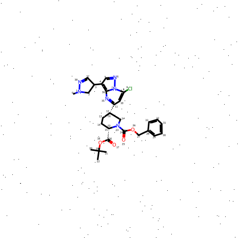 CN1CC(c2cnn3c(Cl)cc([C@H]4CC[C@@H](C(=O)OC(C)(C)C)N(C(=O)OCc5ccccc5)C4)nc23)C=N1